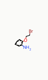 Nc1ccccc1OCCBr